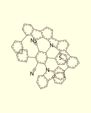 N#Cc1c(-c2ccccc2)c(C#N)c(-n2c3c(ccc4c5cccc(-c6ccccc6)c5sc43)c3ccc4c5cccc(-c6ccccc6)c5sc4c32)c(-c2ccccc2)c1-n1c2ccccc2c2ccccc21